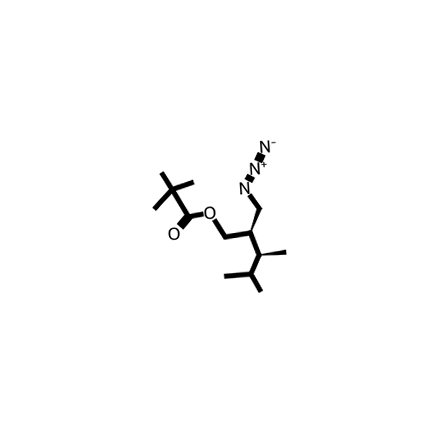 CC(C)[C@H](C)[C@H](CN=[N+]=[N-])COC(=O)C(C)(C)C